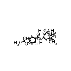 CC(C)Oc1ccc(C(=O)NC2CC(C)(C)NC(C)(C)C2)cc1